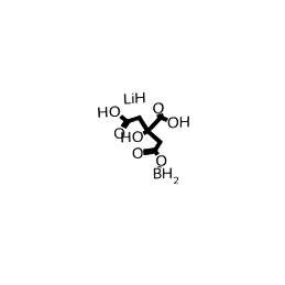 BOC(=O)CC(O)(CC(=O)O)C(=O)O.[LiH]